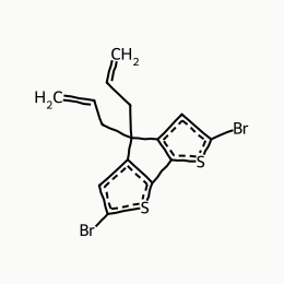 C=CCC1(CC=C)c2cc(Br)sc2-c2sc(Br)cc21